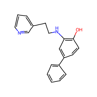 Oc1ccc(-c2ccccc2)cc1NCCc1cccnc1